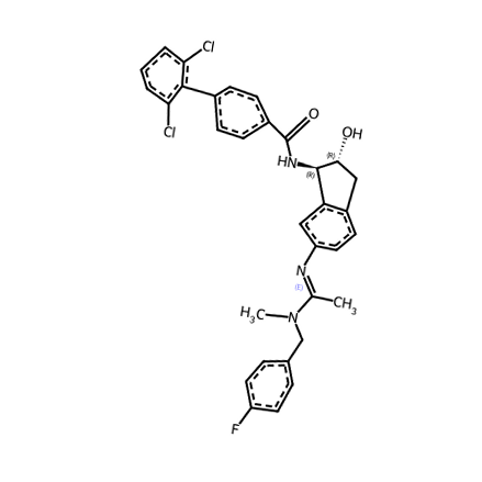 C/C(=N\c1ccc2c(c1)[C@@H](NC(=O)c1ccc(-c3c(Cl)cccc3Cl)cc1)[C@H](O)C2)N(C)Cc1ccc(F)cc1